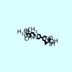 CC(C)C(O)(C(=O)N1CCC(C2CCN(c3ccc(C(=O)N(C)C)c(Cl)n3)CC2)CC1)C1CC1